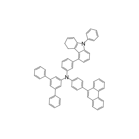 C1=Cc2c(c3c(-c4cccc(N(c5ccc(-c6cc7ccccc7c7ccccc67)cc5)c5cc(-c6ccccc6)cc(-c6ccccc6)c5)c4)cccc3n2-c2ccccc2)CC1